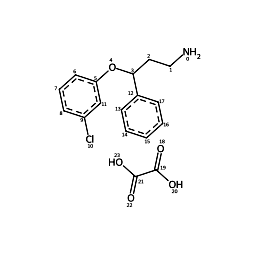 NCCC(Oc1cccc(Cl)c1)c1ccccc1.O=C(O)C(=O)O